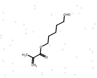 C=C(C)C(=O)OCCCCCC=O